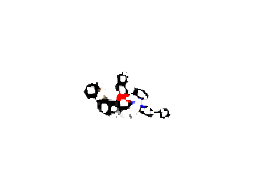 C[Si]1(C)c2cc(N(c3cccc(-c4ccccc4)c3)c3ccccc3-c3cccc4ccccc34)ccc2-c2c1ccc1c2sc2ccccc21